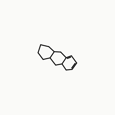 C1=CCC2CC3CCCCC3CC2=C1